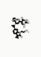 O=C1N(CCC(F)(F)F)c2cc([C@H]3C[C@@H]3c3cc(-c4c[nH]c(=O)[nH]c4=O)nn4ccnc34)ccc2C12CC2